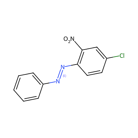 O=[N+]([O-])c1cc(Cl)ccc1/N=N/c1ccccc1